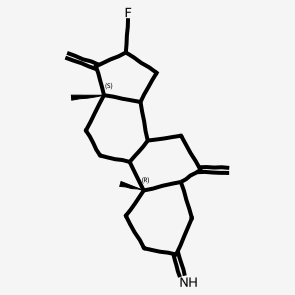 C=C1CC2C(CC[C@]3(C)C(=C)C(F)CC23)[C@@]2(C)CCC(=N)CC12